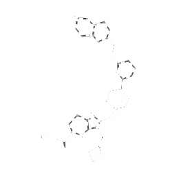 COC(=O)c1ccc2nc(CN3CCC(c4cccc(OCc5ccc6cnccc6c5)n4)CC3)n(C[C@@H]3CCO3)c2n1